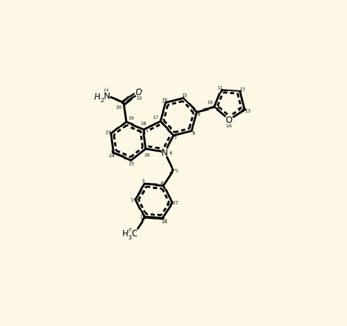 Cc1ccc(Cn2c3cc(-c4ccco4)c[c]c3c3c(C(N)=O)cccc32)cc1